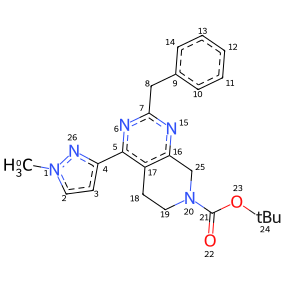 Cn1ccc(-c2nc(Cc3ccccc3)nc3c2CCN(C(=O)OC(C)(C)C)C3)n1